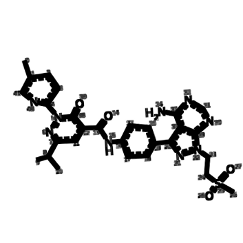 Cc1ccc(-n2nc(C(C)C)cc(C(=O)Nc3ccc(-c4nn(CCS(C)(=O)=O)c5ncnc(N)c45)cc3)c2=O)nc1